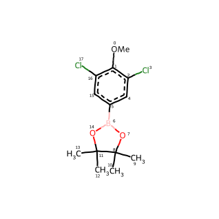 COc1c(Cl)cc(B2OC(C)(C)C(C)(C)O2)cc1Cl